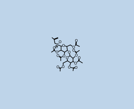 C=C(C)CS(=O)(=O)C1OC(COC(C)=O)C(OC2OC(COC(C)=O)C(OC(C)=O)C(OC(C)=O)C2OC(C)=O)C(OC(C)=O)C1OC(C)=O